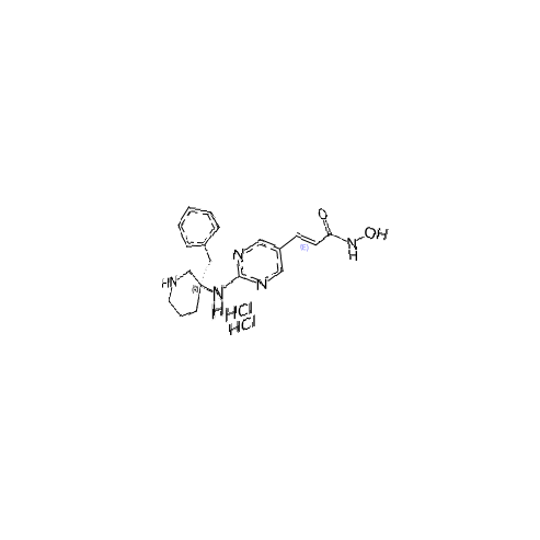 Cl.Cl.O=C(/C=C/c1cnc(N[C@@]2(Cc3ccccc3)CCCNC2)nc1)NO